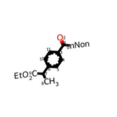 CCCCCCCCCC(=O)c1ccc(C(C)C(=O)OCC)cc1